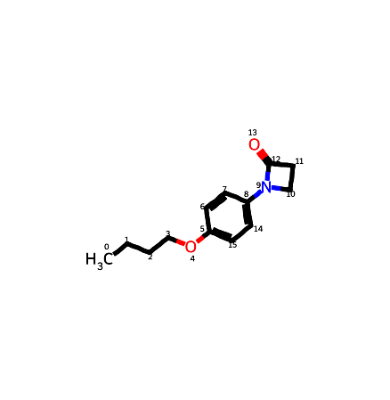 CCCCOc1ccc(N2CCC2=O)cc1